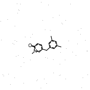 Cc1cc(C)cc(Cc2ccc(=O)n(C)c2)c1